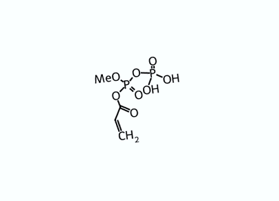 C=CC(=O)OP(=O)(OC)OP(=O)(O)O